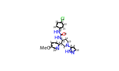 COc1ccc(C2CN(c3ccn[nH]3)CCC2NC(=O)Nc2ccc(Cl)cc2)nc1